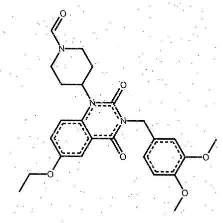 CCOc1ccc2c(c1)c(=O)n(Cc1ccc(OC)c(OC)c1)c(=O)n2C1CCN(C=O)CC1